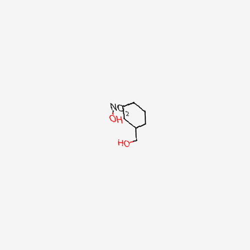 O=[N+]([O-])O.OCC1CCCCC1